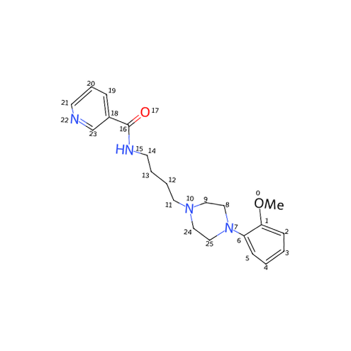 COc1ccccc1N1CCN(CCCCNC(=O)c2cccnc2)CC1